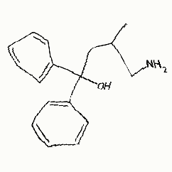 CC(CN)CC(O)(c1ccccc1)c1ccccc1